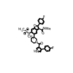 CNC(=O)c1c(-c2ccc(F)cc2)oc2cc(N(C)S(C)(=O)=O)c(C3CCCN(C(=O)c4c[nH]cc4-c4ccc(F)cc4)C3)cc12